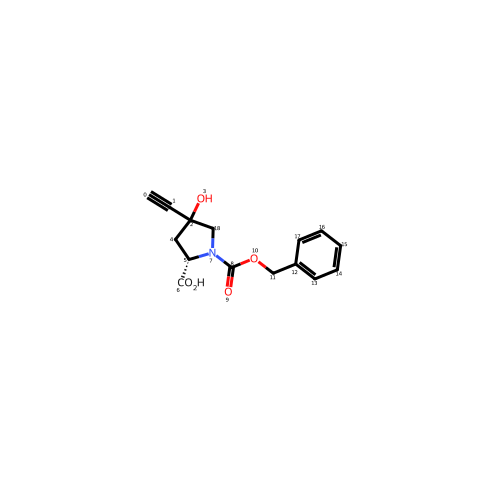 C#CC1(O)C[C@@H](C(=O)O)N(C(=O)OCc2ccccc2)C1